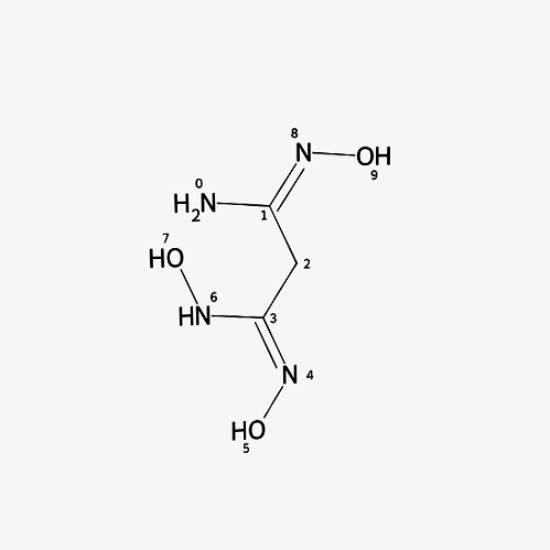 N/C(C/C(=N/O)NO)=N/O